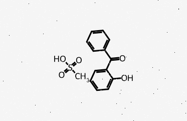 CS(=O)(=O)O.O=C(c1ccccc1)c1ccccc1O